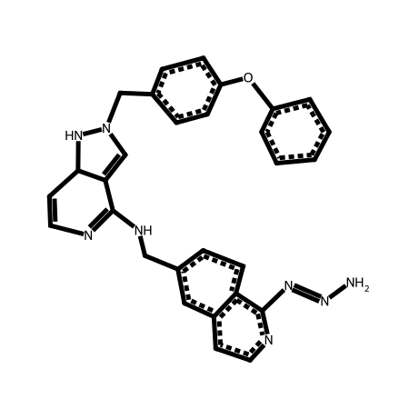 NN=Nc1nccc2cc(CNC3=NC=CC4NN(Cc5ccc(Oc6ccccc6)cc5)C=C34)ccc12